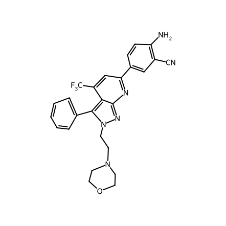 N#Cc1cc(-c2cc(C(F)(F)F)c3c(-c4ccccc4)n(CCN4CCOCC4)nc3n2)ccc1N